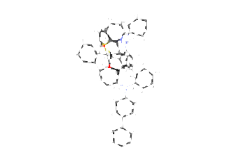 c1ccc(-c2ccc(N(c3ccc4c(c3)C3(c5ccccc5-4)c4ccccc4N(c4ccccc4)c4ccccc43)c3ccccc3-c3ccc4sc5ccccc5c4c3)cc2)cc1